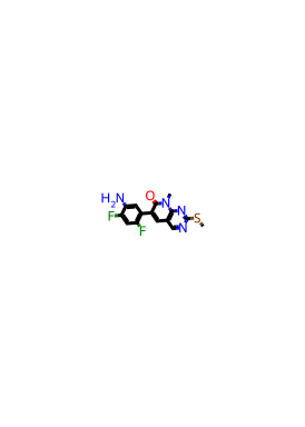 CSc1ncc2cc(-c3cc(N)c(F)cc3F)c(=O)n(C)c2n1